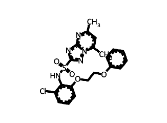 Cc1cc(C)n2nc(S(=O)(=O)Nc3c(Cl)cccc3OCCOc3ccccc3)nc2n1